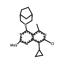 CSc1nc(N2CC3CCC(C3)C2)c2c(C)nc(Cl)c(C3CC3)c2n1